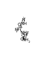 CC(C)N1CCC(Nc2cccc3c(CC(F)(F)F)c(C#CCNc4ccc(S(N)(=O)=O)cc4OC(F)F)sc23)CC1